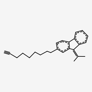 C#CCCCCCCCc1ccc2c(c1)C(=C(C)C)c1ccccc1-2